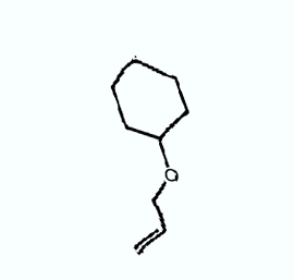 C=CCOC1CC[CH]CC1